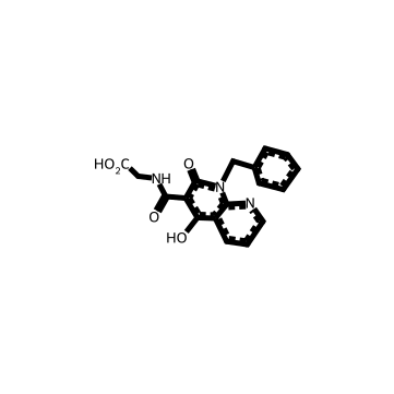 O=C(O)CNC(=O)c1c(O)c2cccnc2n(Cc2ccccc2)c1=O